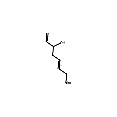 C=CC(O)C/C=C/CCCCC